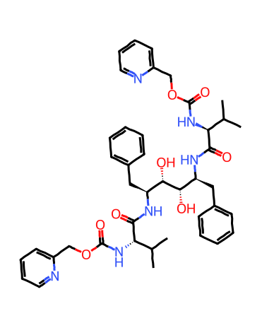 CC(C)[C@H](NC(=O)OCc1ccccn1)C(=O)N[C@@H](Cc1ccccc1)[C@H](O)[C@@H](O)[C@H](Cc1ccccc1)NC(=O)[C@@H](NC(=O)OCc1ccccn1)C(C)C